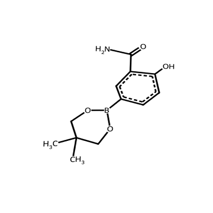 CC1(C)COB(c2ccc(O)c(C(N)=O)c2)OC1